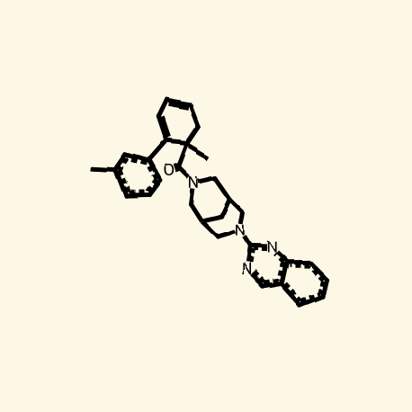 Cc1cccc(C2=CC=CCC2(C)C(=O)N2CC3CC(C2)CN(c2ncc4ccccc4n2)C3)c1